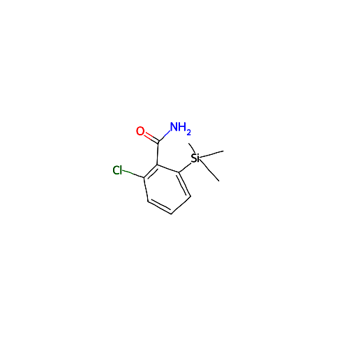 C[Si](C)(C)c1cccc(Cl)c1C(N)=O